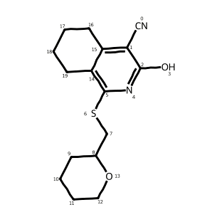 N#Cc1c(O)nc(SCC2CCCCO2)c2c1CCCC2